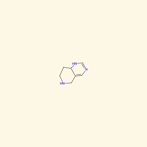 [C]1=NC=C2CNCCC2N1